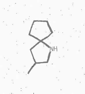 CC1CNC2(CCCC2)C1